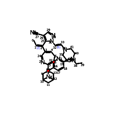 C/C=C(/C1=CCC=C(N2CC3CC(C2)N3Cc2ccc(O)nc2)N=C1)c1c(C#N)cnn1/C=C/N1CCN(CC)CC1